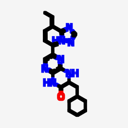 C=C(/C=C\C(=C/C)c1ncn[nH]1)c1cnc2c(n1)NC(CC1CCCCC1)C(=O)N2